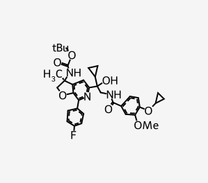 COc1cc(C(=O)NCC(O)(c2cc3c(c(-c4ccc(F)cc4)n2)OC[C@]3(C)NC(=O)OC(C)(C)C)C2CC2)ccc1OC1CC1